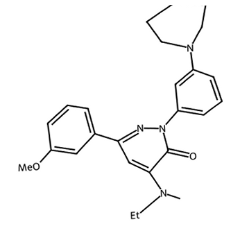 CCN(C)c1cc(-c2cccc(OC)c2)nn(-c2cccc(N3CCCCC3)c2)c1=O